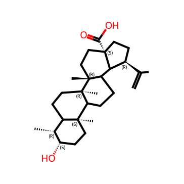 C=C(C)[C@@H]1CC[C@]2(C(=O)O)CC[C@]3(C)C(CCC4[C@@]5(C)CC[C@H](O)[C@H](C)C5CC[C@]43C)C12